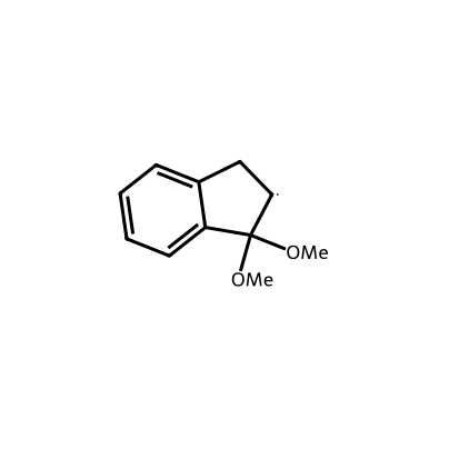 COC1(OC)[CH]Cc2ccccc21